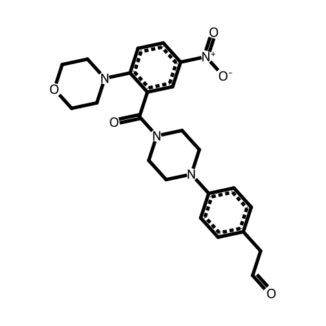 O=CCc1ccc(N2CCN(C(=O)c3cc([N+](=O)[O-])ccc3N3CCOCC3)CC2)cc1